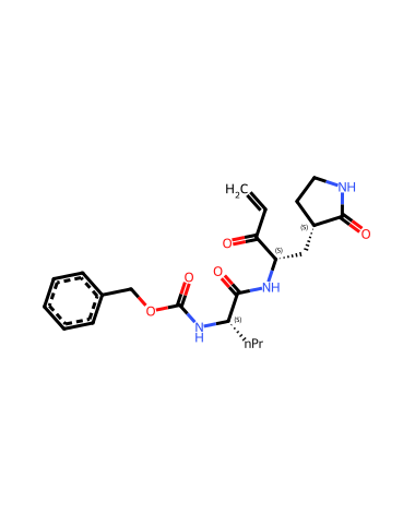 C=CC(=O)[C@H](C[C@@H]1CCNC1=O)NC(=O)[C@H](CCC)NC(=O)OCc1ccccc1